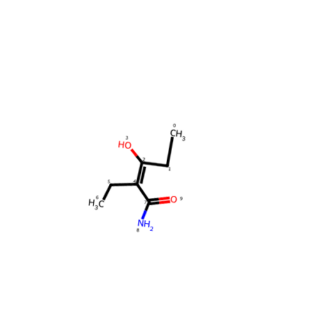 CCC(O)=C(CC)C(N)=O